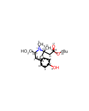 CN([C@@H](Cc1ccc(O)cc1)C(=O)O)C(C)(C)CC(=O)OC(C)(C)C